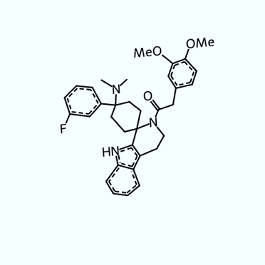 COc1ccc(CC(=O)N2CCc3c([nH]c4ccccc34)C23CCC(c2cccc(F)c2)(N(C)C)CC3)cc1OC